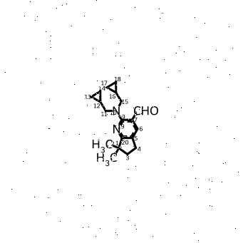 CC1(C)CCc2cc(C=O)c(N(CC3CC3)CC3CC3)nc21